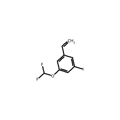 C=[C]c1cc(I)cc(OC(F)F)c1